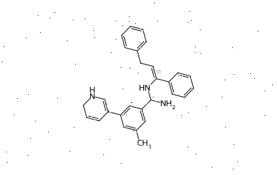 Cc1cc(C2=CNCC=C2)cc(C(N)N/C(=C\Cc2ccccc2)c2ccccc2)c1